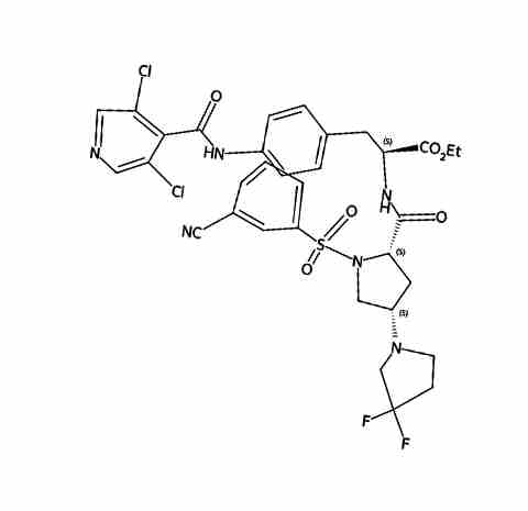 CCOC(=O)[C@H](Cc1ccc(NC(=O)c2c(Cl)cncc2Cl)cc1)NC(=O)[C@@H]1C[C@H](N2CCC(F)(F)C2)CN1S(=O)(=O)c1cccc(C#N)c1